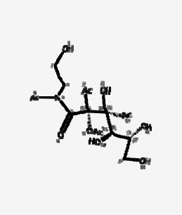 CC(=O)O[C@@](C(C)=O)(C(=O)N(CCO)C(C)=O)[C@](O)(C(C)=O)[C@H](O)[C@H](O)CO